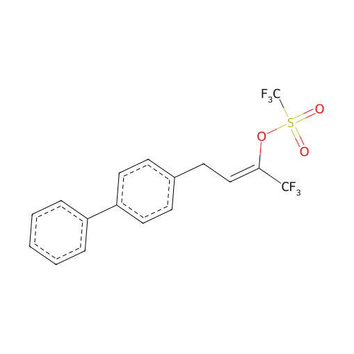 O=S(=O)(OC(=CCc1ccc(-c2ccccc2)cc1)C(F)(F)F)C(F)(F)F